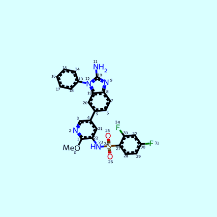 COc1ncc(-c2ccc3nc(N)n(-c4ccccc4)c3c2)cc1NS(=O)(=O)c1ccc(F)cc1F